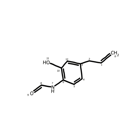 C=CCc1ccc(NC=O)c(O)c1